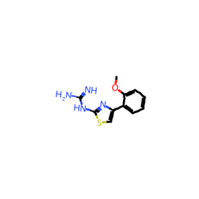 COc1ccccc1-c1csc(NC(=N)N)n1